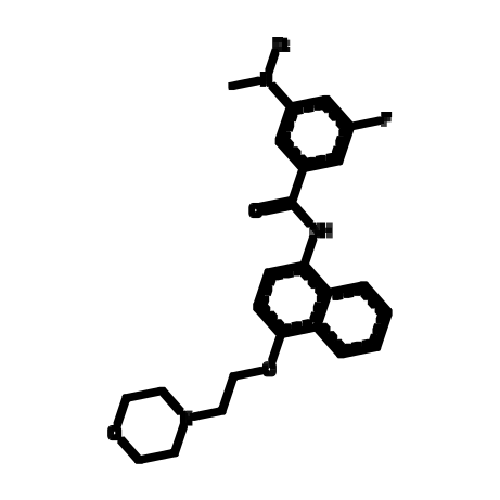 CCN(C)c1cc(F)cc(C(=O)Nc2ccc(OCCN3CCOCC3)c3ccccc23)c1